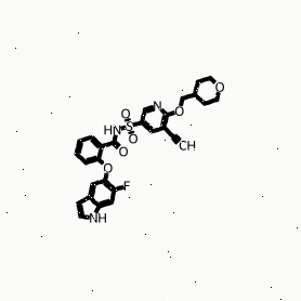 C#Cc1cc(S(=O)(=O)NC(=O)c2ccccc2Oc2cc3cc[nH]c3cc2F)cnc1OCC1CCOCC1